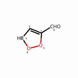 O=CC1=CBOO1